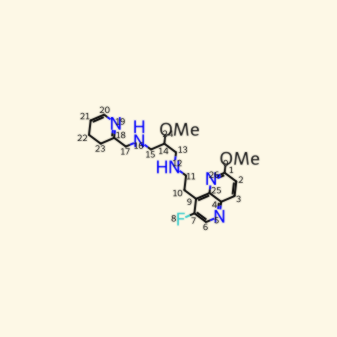 COc1ccc2ncc(F)c(CCNCC(CNCC3=NC=CCC3)OC)c2n1